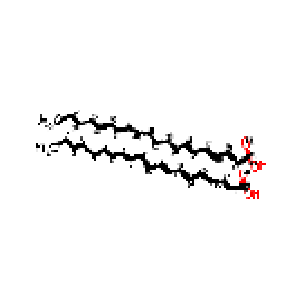 CCCCCCCCC/C=C/C=C/C=C/C=C/C=C/C(=O)O.CCCCCCCCCCCCC/C=C/C=C/C=C/C(=O)O